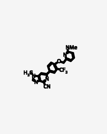 CNc1cccc(COc2ccc(-c3cc4c(ncn4C)c(C#N)n3)cc2C(F)(F)F)n1